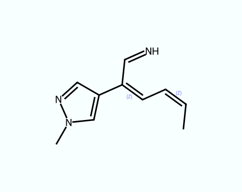 C/C=C\C=C(/C=N)c1cnn(C)c1